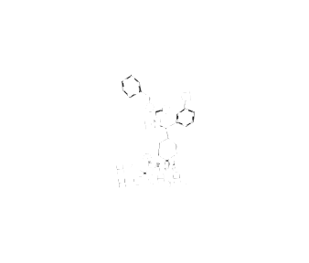 CC1(N[S+]([O-])C(C)(C)C)CCC(C(NC(=O)OCc2ccccc2)c2cccc(Cl)c2)CC1